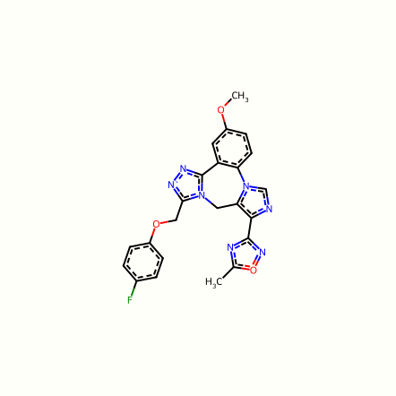 COc1ccc2c(c1)-c1nnc(COc3ccc(F)cc3)n1Cc1c(-c3noc(C)n3)ncn1-2